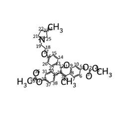 COC(=O)Oc1ccc2c(c1)O[C@@H](c1ccc(OCCN3CC[C@@H](C)C3)cc1)C(c1ccc(OC(C)=O)cc1)=C2C